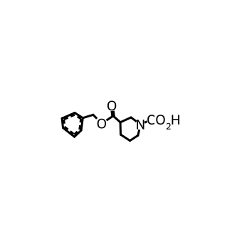 O=C(OCc1ccccc1)C1CCCN(C(=O)O)C1